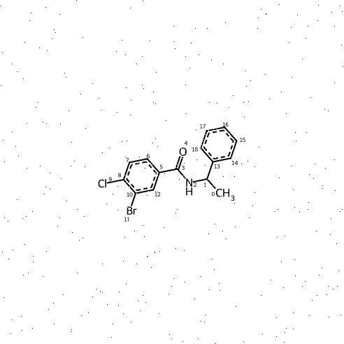 CC(NC(=O)c1ccc(Cl)c(Br)c1)c1ccccc1